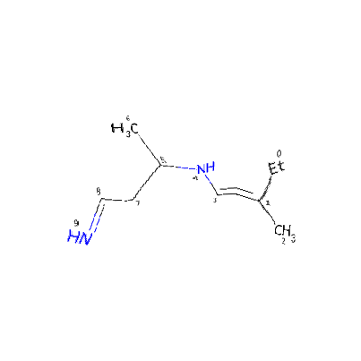 CC/C(C)=C\NC(C)CC=N